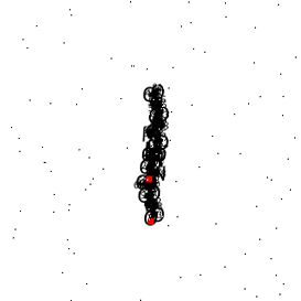 COC(=O)c1ccc(C(=O)Oc2ccc(/C=C(\C#N)C(=O)O[C@H]3CO[C@H]4[C@@H]3OC[C@H]4OC(=O)/C(C#N)=C/c3ccc(OC(=O)c4ccc(C(=O)OC)cc4)cc3OC)c(OC)c2)cc1